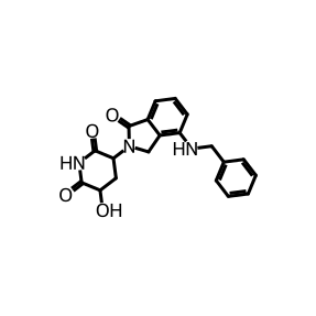 O=C1NC(=O)C(N2Cc3c(NCc4ccccc4)cccc3C2=O)CC1O